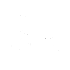 N#Cc1ccc(-c2ccccc2Cc2nc(NC3CCOCC3)c(C=N)c(=O)[nH]2)cc1